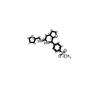 CS(=O)(=O)c1ccc(C2NC(NCC3CCCS3)CC3CCOC32)cc1